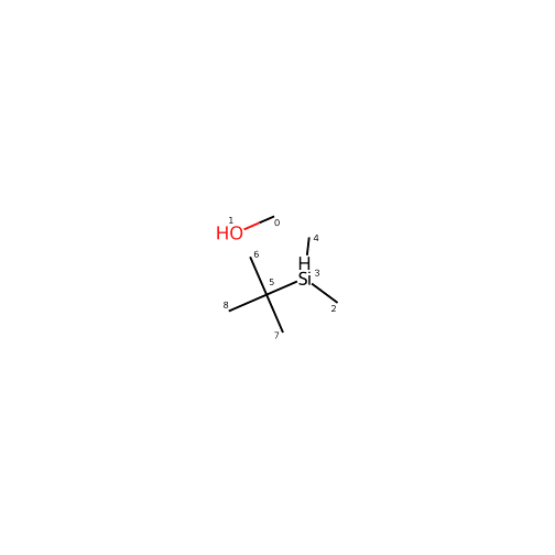 CO.C[SiH](C)C(C)(C)C